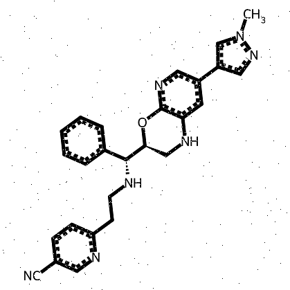 Cn1cc(-c2cnc3c(c2)NC[C@@H]([C@H](NCCc2ccc(C#N)cn2)c2ccccc2)O3)cn1